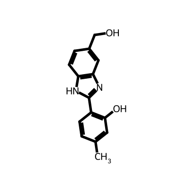 Cc1ccc(-c2nc3cc(CO)ccc3[nH]2)c(O)c1